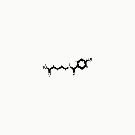 O=C(O)CCCCOC(=O)c1ccc(O)cc1